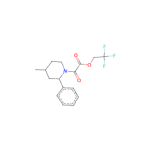 CC1CCN(C(=O)C(=O)OCC(F)(F)F)C(c2ccccc2)C1